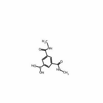 CNC(=O)c1cc(B(O)O)cc(C(=O)NC)c1